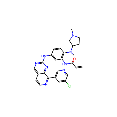 C=CC(=O)Nc1cc(Nc2ncc3ccnc(-c4cncc(Cl)c4)c3n2)ccc1N(C)C1CCN(C)C1